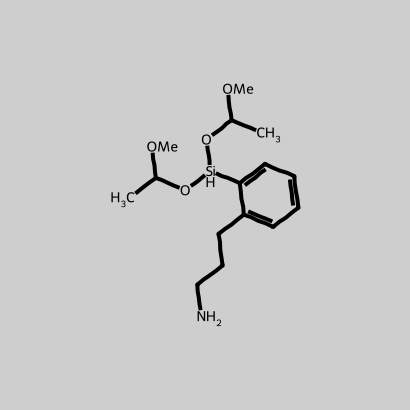 COC(C)O[SiH](OC(C)OC)c1ccccc1CCCN